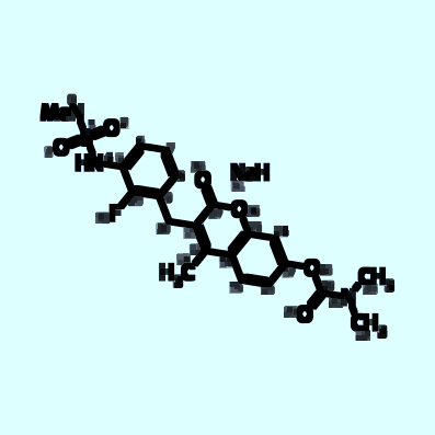 CNS(=O)(=O)Nc1cccc(Cc2c(C)c3ccc(OC(=O)N(C)C)cc3oc2=O)c1F.[NaH]